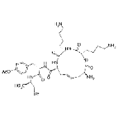 CC(=O)Oc1ccc(C[C@H](NC(=O)[C@@H]2C/C=C/C[C@H](N)C(=O)N[C@@H](CCCCN)C(=O)N[C@@H](CCCCN)C(=O)N2)C(=O)N[C@@H](CC(C)C)C(=O)O)cc1